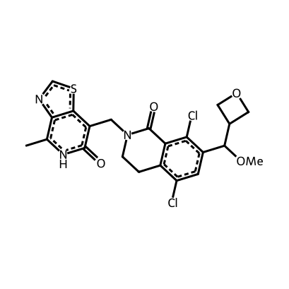 COC(c1cc(Cl)c2c(c1Cl)C(=O)N(Cc1c(=O)[nH]c(C)c3ncsc13)CC2)C1COC1